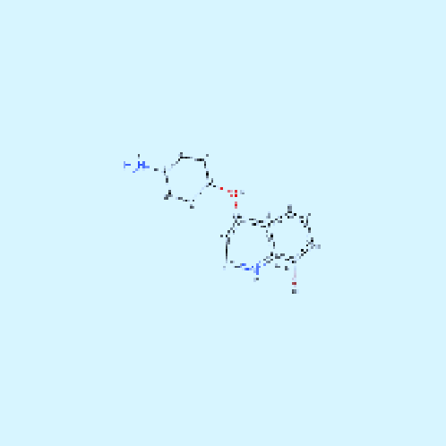 NC1CCC(Oc2ccnc3c(Br)cccc23)CC1